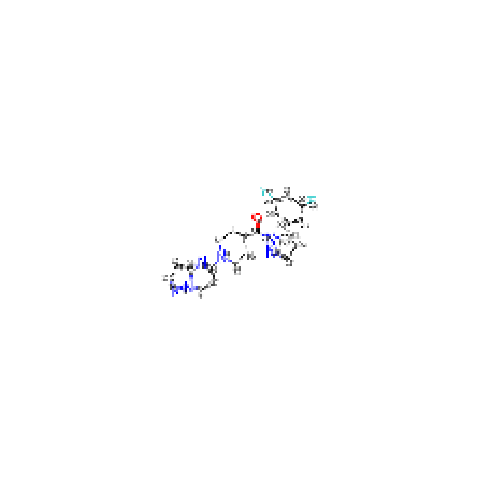 O=C(C1CCN(c2ccn3nccc3n2)CC1)N1N=CC[C@H]1c1cc(F)cc(F)c1